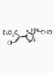 CCOC(=O)C(=CCl)c1cnc(NC=O)s1